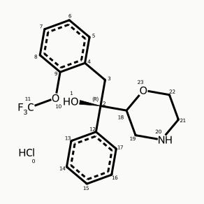 Cl.O[C@](Cc1ccccc1OC(F)(F)F)(c1ccccc1)C1CNCCO1